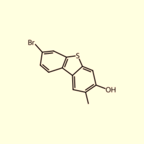 Cc1cc2c(cc1O)sc1cc(Br)ccc12